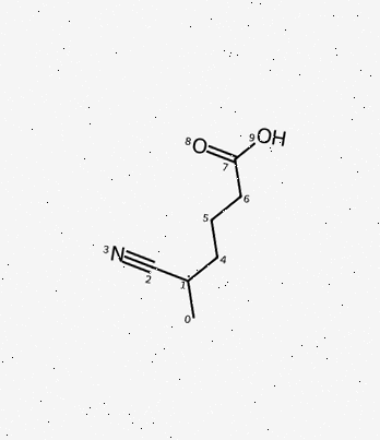 C[C](C#N)CCCC(=O)O